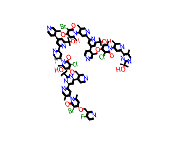 Cc1cnc(-c2nc(C(C)(C)O)ncc2C)cc1-n1c(C)cc(OCc2cnccc2-c2cc(-c3cc(-n4c(C)cc(OCc5cnccc5-c5cc(C6=NC[C@@H](C)C(n7c(C)cc(OCc8cnccc8-c8cc(-c9cc(-n%10c(C)cc(OCc%11cnccc%11F)c(Br)c%10=O)c(C)cn9)nc(C(C)(C)O)n8)c(Cl)c7=O)=C6)nc(C(C)(C)O)c5)c(Br)c4=O)c(C)cn3)nc(C(C)(C)O)c2)c(Cl)c1=O